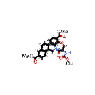 COC(=O)c1ccc2c(CN3C(=O)[C@@H](NC(=O)OC(C)(C)C)COc4c(C(=O)OC)cccc43)c(OC)ccc2c1